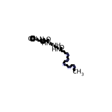 CC/C=C\C/C=C\C/C=C\C/C=C\C/C=C\CCCC(=O)NCCNCCNC(=O)c1ccc(CCN2CCOCC2)nc1